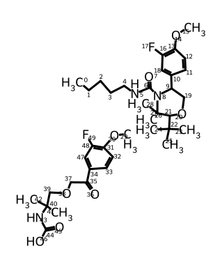 CCCCCNC(=O)N1C(c2ccc(OC)c(F)c2)COC(C(C)(C)C)C1(C)C.COc1ccc(C(=O)COCC(C)(C)NC(=O)O)cc1F